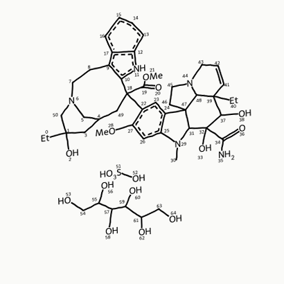 CCC1(O)CC2CN(CCc3c([nH]c4ccccc34)C(C(=O)OC)(c3cc4c(cc3OC)N(C)C3C(O)(C(N)=O)C(O)C5(CC)C=CCN6CCC43C65)C2)C1.O=S(=O)(O)O.OCC(O)C(O)C(O)C(O)CO